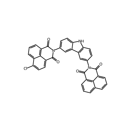 O=C1c2cccc3cccc(c23)C(=O)N1c1ccc2[nH]c3ccc(N4C(=O)c5cccc6c(Cl)ccc(c56)C4=O)cc3c2c1